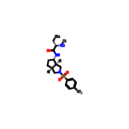 CCN[C@@H](CC(C)(C)C)C(=O)N[C@H]1CC[C@@H]2CN(S(=O)(=O)c3ccc(C(F)(F)F)cc3)C[C@@H]21